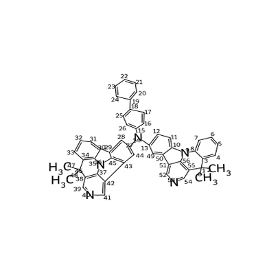 CC1(C)c2ccccc2-n2c3ccc(N(c4ccc(-c5ccccc5)cc4)c4cc5c6cccc7c6n6c8c(cncc8c(c4)c56)C7(C)C)cc3c3cncc1c32